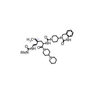 C/C=C(\C=C\NC(=O)NC)CC(NC(=O)N1CCC(N2Cc3ccccc3NC2=O)CC1)C(=O)N1CCC(N2CCCCC2)CC1